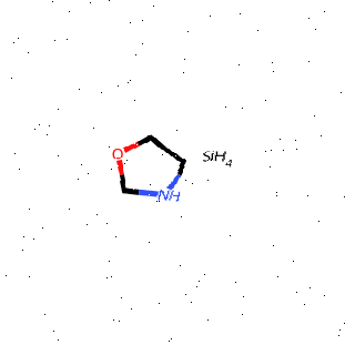 C1COCN1.[SiH4]